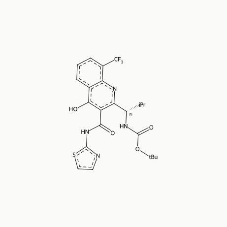 CC(C)[C@H](NC(=O)OC(C)(C)C)c1nc2c(C(F)(F)F)cccc2c(O)c1C(=O)Nc1nccs1